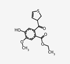 CCOC(=O)c1cc(OC)c(O)cc1C(=O)C1C=CSC1